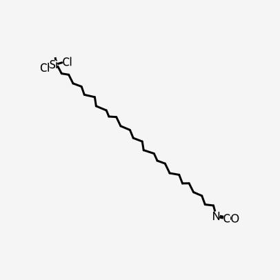 C[Si](Cl)(Cl)CCCCCCCCCCCCCCCCCCCCCCCCCCN=C=O